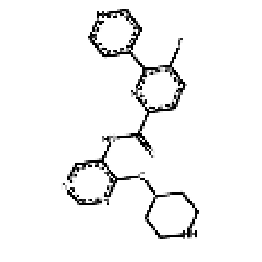 O=C(Nc1cncnc1OC1CCNCC1)c1ccc(F)c(-c2ccncc2)n1